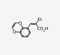 CCC(=Cc1cccc2c1OC=CO2)C(=O)O